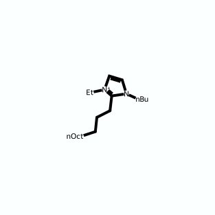 CCCCCCCCCCCc1n(CCCC)cc[n+]1CC